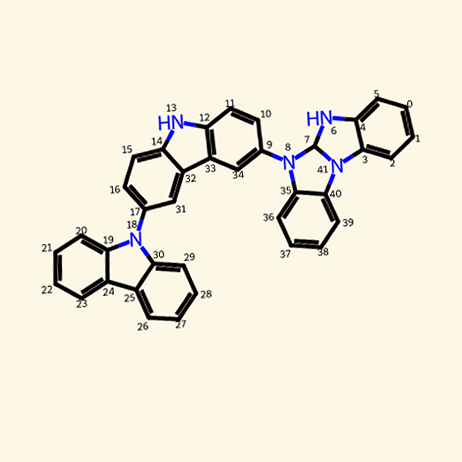 c1ccc2c(c1)NC1N(c3ccc4[nH]c5ccc(-n6c7ccccc7c7ccccc76)cc5c4c3)c3ccccc3N21